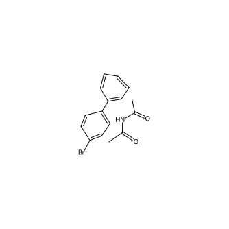 Brc1ccc(-c2ccccc2)cc1.CC(=O)NC(C)=O